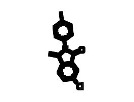 C=C1c2ccc(Cl)cc2C(=O)N1c1ccc(C)cc1